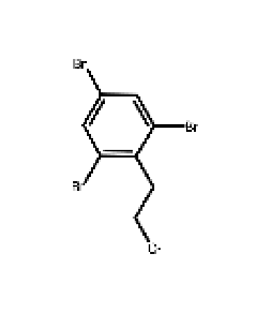 [O]CCc1c(Br)cc(Br)cc1Br